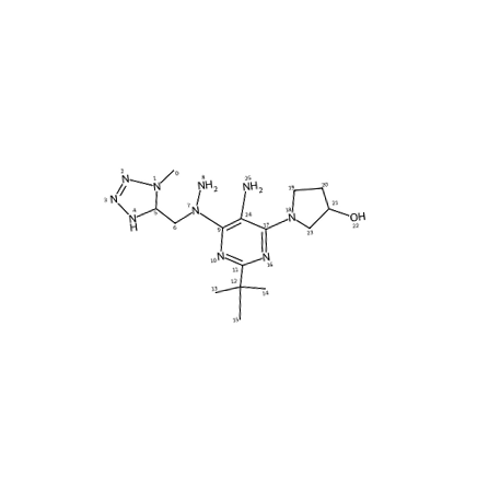 CN1N=NNC1CN(N)c1nc(C(C)(C)C)nc(N2CCC(O)C2)c1N